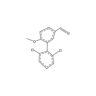 COc1ccc(C=O)cc1-c1c(Cl)cccc1Cl